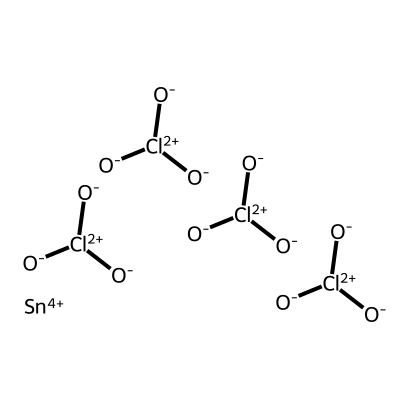 [O-][Cl+2]([O-])[O-].[O-][Cl+2]([O-])[O-].[O-][Cl+2]([O-])[O-].[O-][Cl+2]([O-])[O-].[Sn+4]